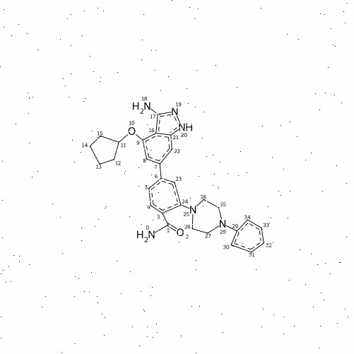 NC(=O)c1ccc(-c2cc(OC3CCCC3)c3c(N)n[nH]c3c2)cc1N1CCN(c2ccccc2)CC1